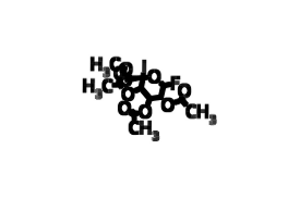 COC(=O)C1(I)OC(F)C(OC(C)=O)C(OC(C)=O)C1OC(C)=O